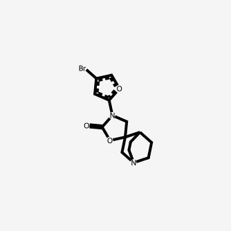 O=C1OC2(CN3CCC2CC3)CN1c1cc(Br)co1